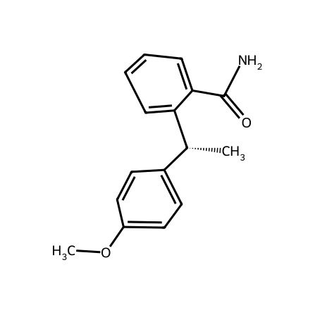 COc1ccc([C@@H](C)c2ccccc2C(N)=O)cc1